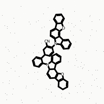 N#CC1=C(n2c3ccccc3c3c4oc5ccccc5c4ccc32)C=CC(c2ccccc2N2c3ccccc3C3c4oc5c(c4C=CC32)CCC=C5)C1